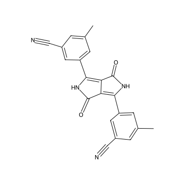 Cc1cc(C#N)cc(C2=C3C(=O)NC(c4cc(C)cc(C#N)c4)=C3C(=O)N2)c1